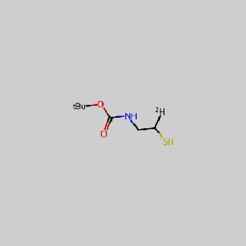 [2H]C(S)CNC(=O)OC(C)(C)C